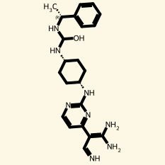 C[C@@H](NC(O)N[C@H]1CC[C@@H](Nc2nccc(C(C=N)=C(N)N)n2)CC1)c1ccccc1